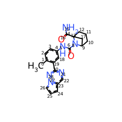 Cc1ccc(NC(=O)N2C3CCCC2(C(N)=O)C3)cc1-c1ncc2cccn2n1